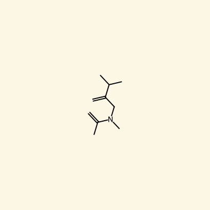 C=C(CN(C)C(=C)C)C(C)C